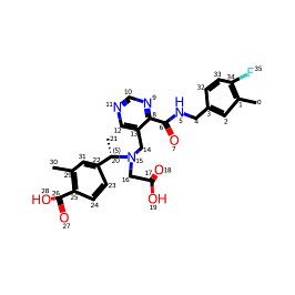 Cc1cc(CNC(=O)c2ncncc2CN(CC(=O)O)[C@@H](C)c2ccc(C(=O)O)c(C)c2)ccc1F